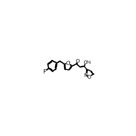 O=C(C=C(O)c1ccon1)c1ccc(Cc2ccc(F)cc2)o1